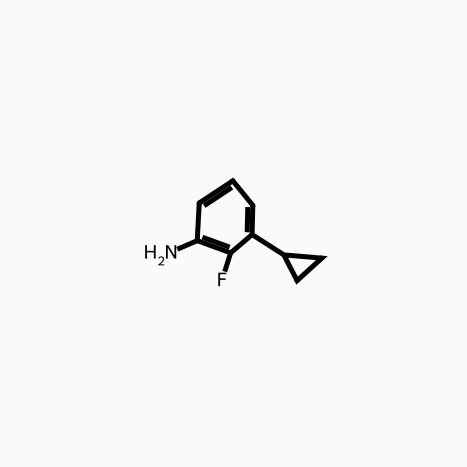 Nc1cccc(C2CC2)c1F